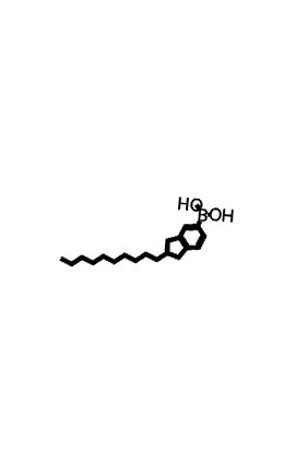 CCCCCCCCCCC1Cc2ccc(B(O)O)cc2C1